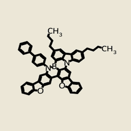 CCCCc1ccc2c(c1)c1cc(CCCC)cc3c1n2-c1cc2c(oc4ccccc42)c2c1B3N(c1ccc(-c3ccccc3)cc1)c1cc3c(cc1-2)oc1ccccc13